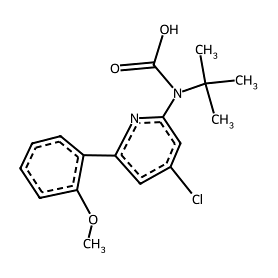 COc1ccccc1-c1cc(Cl)cc(N(C(=O)O)C(C)(C)C)n1